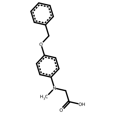 CN(CC(=O)O)c1ccc(OCc2ccccc2)cc1